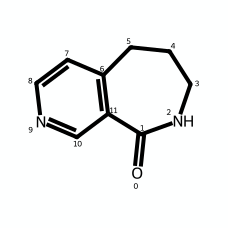 O=C1NCCCc2ccncc21